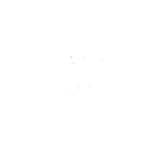 O=C1NS(=O)(=O)N(CC2CC2)CC/C=C/[C@H](O)[C@@H]2CC[C@H]2CN2C[C@@]3(CCCc4cc(Cl)ccc43)COc3ccc1cc32